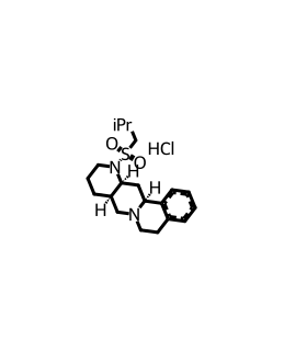 CC(C)CS(=O)(=O)N1CCC[C@@H]2CN3CCc4ccccc4[C@@H]3C[C@@H]21.Cl